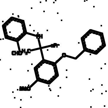 CCCC(C)(Pc1ccccc1C=O)c1cc(OC)ccc1OCc1ccccc1